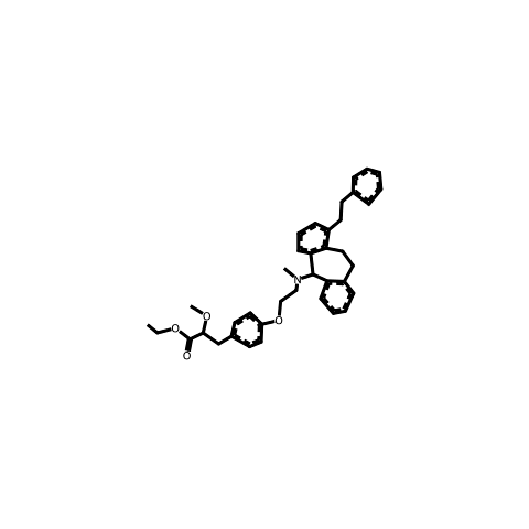 CCOC(=O)C(Cc1ccc(OCCN(C)C2c3ccccc3CCc3c(CCc4ccccc4)cccc32)cc1)OC